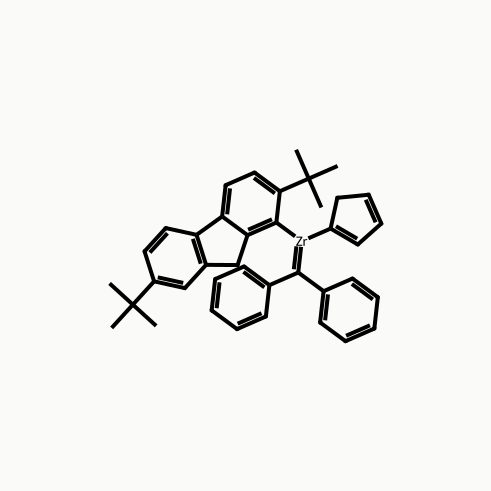 CC(C)(C)c1ccc2c(c1)Cc1c-2ccc(C(C)(C)C)[c]1[Zr]([C]1=CC=CC1)=[C](c1ccccc1)c1ccccc1